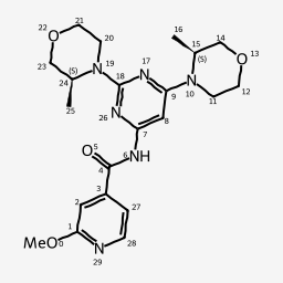 COc1cc(C(=O)Nc2cc(N3CCOC[C@@H]3C)nc(N3CCOC[C@@H]3C)n2)ccn1